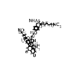 CC(=O)N[C@@H](Cc1ccc(OC(=O)OCC(=O)[C@@]2(OC(=O)CCCO[N+](=O)[O-])[C@H](C)CC3C4C[C@H](F)C5=CC(=O)C=C[C@]5(C)[C@@]4(F)[C@@H](O)C[C@@]32C)cc1)C(=O)OCCCCO[N+](=O)[O-]